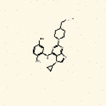 CCOC(=O)CC1CCN(c2nc(Nc3cc(C(C)(C)C)ccc3C)c3c(ncn3C3CC3)n2)CC1